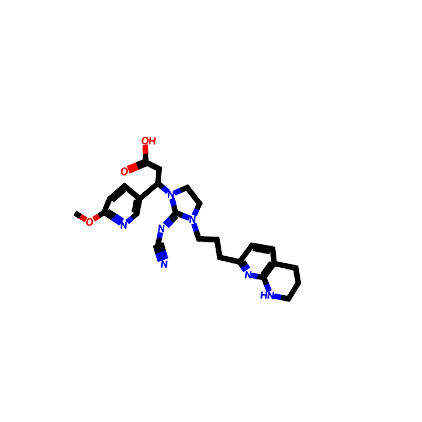 COc1ccc(C(CC(=O)O)N2CCN(CCCc3ccc4c(n3)NCCC4)/C2=N\C#N)cn1